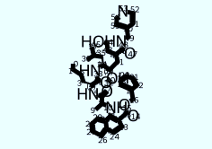 CCCC[C@H](NC(=O)C(C)Nc1c(C(=O)OCc2ccccc2)ccc2ccccc12)C(=O)N[C@@H](CC(C)C)[C@@H](O)CC(CCO)C(=O)NCc1ccncc1